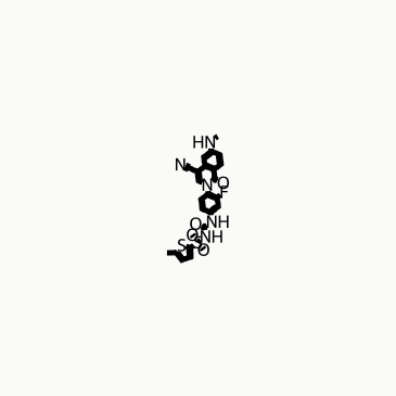 CNc1ccc2c(=O)n(-c3ccc(NC(=O)NS(=O)(=O)c4ccc(C)s4)cc3F)cc(C#N)c2c1